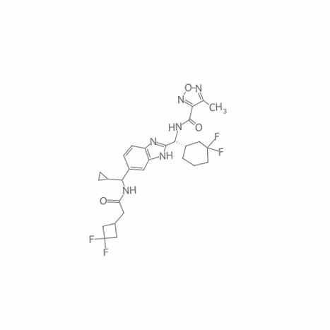 Cc1nonc1C(=O)NC(c1nc2ccc(C(NC(=O)CC3CC(F)(F)C3)C3CC3)cc2[nH]1)[C@H]1CCCC(F)(F)C1